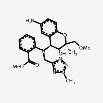 COC[C@]1(C)Oc2ccc(N)cc2[C@H](N(Cc2nnn(C)n2)c2ccccc2C(=O)OC)[C@H]1O